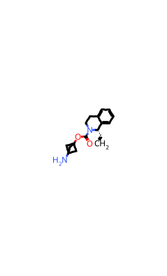 C=C[C@H]1c2ccccc2CCN1C(=O)OC12CC(N)(C1)C2